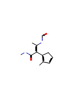 CNC(=O)/C(C1=C(C)C=CC1)=C(\C)NC=O